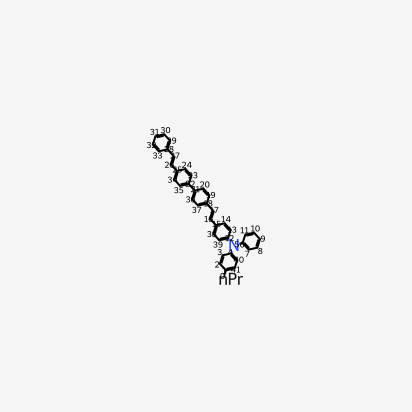 CCCc1ccc(N(c2ccccc2)c2ccc(/C=C/c3ccc(-c4ccc(/C=C/c5ccccc5)cc4)cc3)cc2)cc1